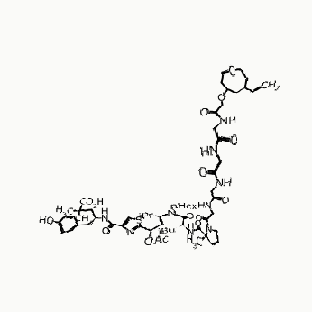 C=CC1CCCCCC(OCC(=O)NCC(=O)NCC(=O)NCC(=O)NCC(=O)N2CCC[C@]2(C)C(=O)N[C@H](C(=O)N(CCCCCC)[C@H](C[C@@H](OC(C)=O)c2nc(C(=O)N[C@@H](Cc3ccc(O)cc3)CC(C)(C)C(=O)O)cs2)C(C)C)[C@@H](C)CC)C1